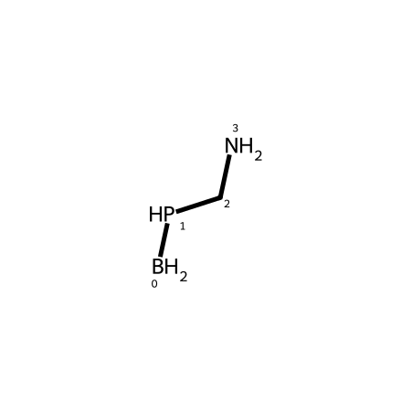 BPCN